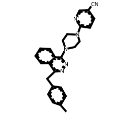 Cc1ccc(Cc2nnc(N3CCN(c4ccc(C#N)cn4)CC3)c3ccccc23)cc1